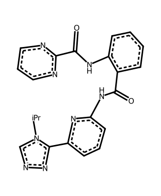 CC(C)n1cnnc1-c1cccc(NC(=O)c2ccccc2NC(=O)c2ncccn2)n1